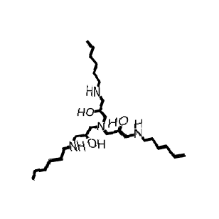 CCCCCCNCC(O)CN(CC(O)CNCCCCCC)CC(O)CNCCCCCC